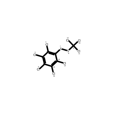 Clc1c(Cl)c(Cl)c(SSC(Cl)(Cl)Cl)c(Cl)c1Cl